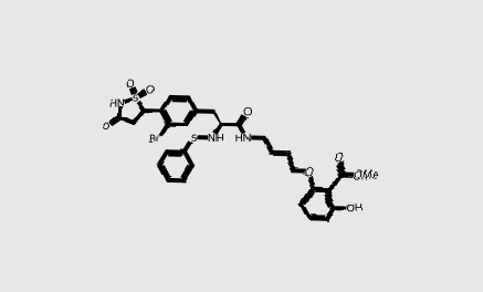 COC(=O)c1c(O)cccc1OCCCCNC(=O)[C@H](Cc1ccc(C2CC(=O)NS2(=O)=O)c(Br)c1)NSc1ccccc1